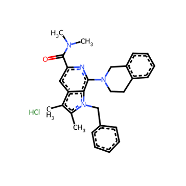 Cc1c(C)n(Cc2ccccc2)c2c(N3CCc4ccccc4C3)nc(C(=O)N(C)C)cc12.Cl